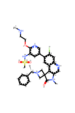 CC(C)NCCOc1ncc(-c2cc3c4c(cnc3cc2F)N(C)C(=O)C42CN([C@@H](C)c3ccccc3)C2)cc1NS(C)(=O)=O